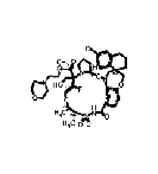 C[C@@H]1[C@@H](C)C/C=C(\F)C(CO)(C(=O)N(C)CCN2CCOCC2)N2CCC[C@H]2CN2C[C@@]3(CCCc4cc(Cl)ccc43)COc3ccc(cc32)C(=O)NS1(=O)=O